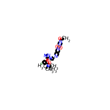 C=CC(=O)N1CCN(S(=O)(=O)N2CCC3(CCN(C[C@@H]4CCN(c5ncncc5Oc5ccc(F)cc5C(=O)N(C(C)C)C(C)C)C4)CC3)CC2)CC1